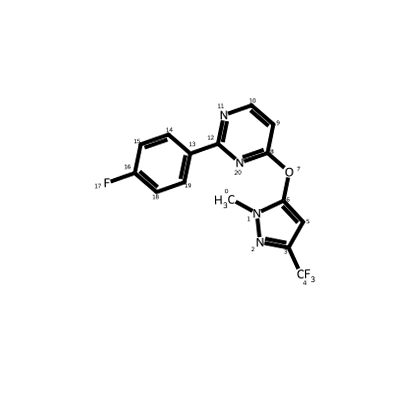 Cn1nc(C(F)(F)F)cc1Oc1ccnc(-c2ccc(F)cc2)n1